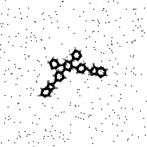 c1ccc(-c2nc(-c3ccccc3)c(-c3ccc(-c4nc5ccccc5s4)cc3)cc2-c2ccc(-c3nc4ccccc4s3)cc2)cc1